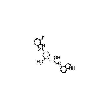 CC1CC(c2nc3c(F)cccc3s2)CCN1C[C@H](O)COc1cccc2[nH]ccc12